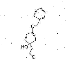 OC1(CCCl)C=CC(OCc2ccccc2)=CC1